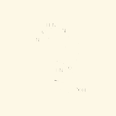 Cc1ncc(-c2cc(-c3cc(S(=O)(=O)N[C@@H]4CC[C@@H](O)CC[C@H]4C)ccc3C)cnc2N)o1